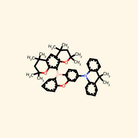 CC1(C)CC(C)(C)c2cc3c(c(B4c5ccccc5Oc5cc(N6c7ccccc7C(C)(C)c7ccccc76)ccc54)c2O1)OC(C)(C)CC3(C)C